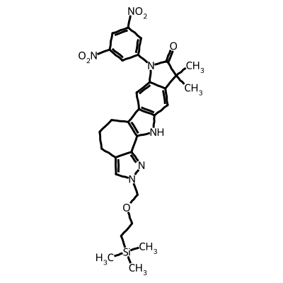 CC1(C)C(=O)N(c2cc([N+](=O)[O-])cc([N+](=O)[O-])c2)c2cc3c4c([nH]c3cc21)-c1nn(COCC[Si](C)(C)C)cc1CCC4